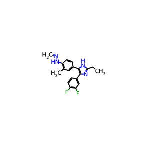 C=NNc1ccc(-c2[nH]c(CC)nc2-c2ccc(F)c(F)c2)cc1C